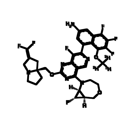 [2H]C([2H])([2H])Oc1c(F)c(F)c(F)c2cc(N)cc(-c3ncc4c(N5CCOC[C@H]6[C@H](F)[C@H]65)nc(OC[C@@]56CCCN5CC(=C(F)F)C6)nc4c3F)c12